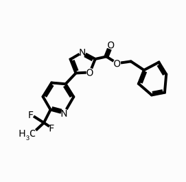 CC(F)(F)c1ccc(-c2cnc(C(=O)OCc3ccccc3)o2)cn1